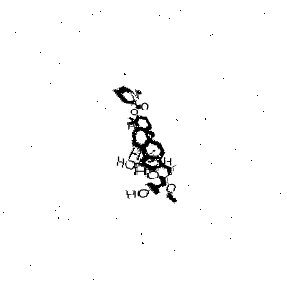 CCO[C@@H]([C@H]1C[C@@H](C)[C@H]2[C@H](O1)[C@H](O)[C@@]1(C)[C@@H]3CC[C@H]4C(C)(C)[C@@H](OC(=O)[C@H]5CCCN5C)CCC45C[C@@]35CC[C@]21C)C(C)(C)O